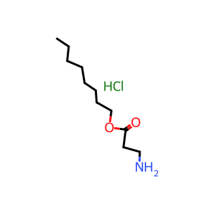 CCCCCCCCOC(=O)CCN.Cl